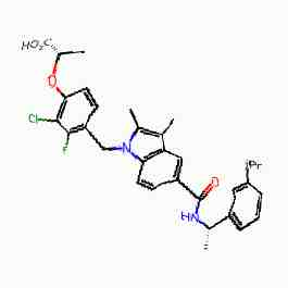 Cc1c(C)n(Cc2ccc(O[C@@H](C)C(=O)O)c(Cl)c2F)c2ccc(C(=O)N[C@@H](C)c3cccc(C(C)C)c3)cc12